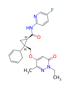 CCn1nc(C)c(OC[C@@]2(C3C=CC=CC3)C[C@H]2C(=O)Nc2ccc(F)cn2)cc1=O